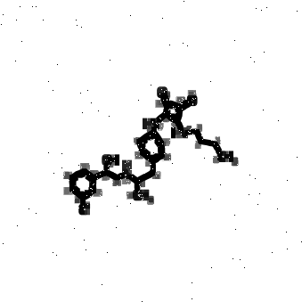 CCCCNc1c(Nc2ccc(CC(C)NC[C@H](O)c3cccc(Cl)c3)cc2)c(=O)c1=O